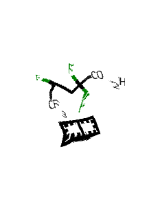 O=C(O)C(F)(F)C(F)C(F)(F)F.c1cc2ccc1-2